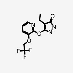 CCC1=C(Oc2ncccc2OCC(F)(F)F)N=NC1=O